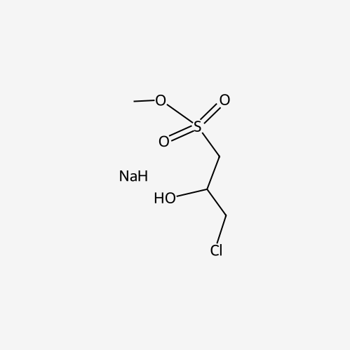 COS(=O)(=O)CC(O)CCl.[NaH]